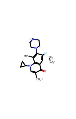 COc1c(N2CCNCC2)c(F)cc2c(=O)c(C(=O)O)cn(C3CC3)c12.CS(=O)(=O)O